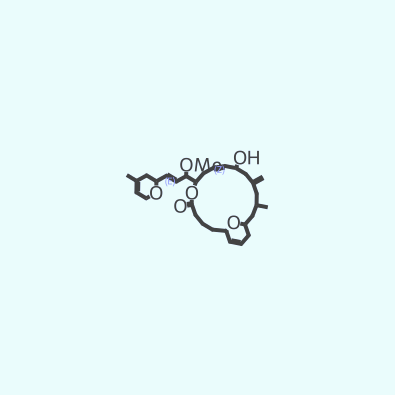 C=C1CC(O)/C=C\CC(C(/C=C/C2CC(C)=CCO2)OC)OC(=O)CCCC2C=CCC(CC(C)C1)O2